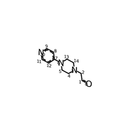 O=CCN1CCN(c2ccncc2)CC1